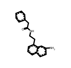 Nc1ccc2cccc(CCNC(=O)Cc3ccccc3)c2c1